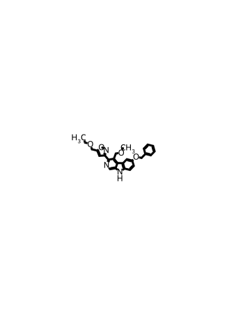 CCOCc1cc(-c2ncc3[nH]c4ccc(OCc5ccccc5)cc4c3c2COC)no1